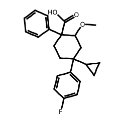 COC1CC(c2ccc(F)cc2)(C2CC2)CCC1(C(=O)O)c1ccccc1